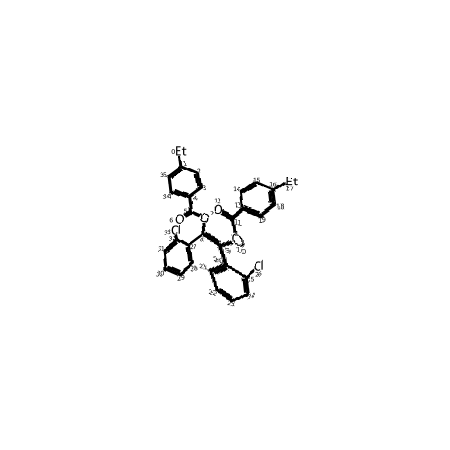 CCc1ccc(C(=O)OC(=C(OC(=O)c2ccc(CC)cc2)c2ccccc2Cl)c2ccccc2Cl)cc1